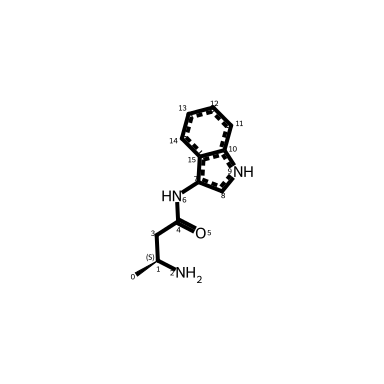 C[C@H](N)CC(=O)Nc1c[nH]c2ccccc12